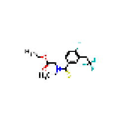 CCOC(=O)CN(CC)C(=S)c1ccc(F)c(CC(F)(F)F)c1